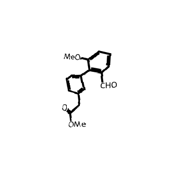 COC(=O)Cc1cccc(-c2c(C=O)cccc2OC)c1